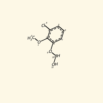 COc1c(Cl)cccc1OBO